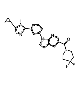 O=C(c1cnc2c(ccn2-c2cccc(-c3nnc(C4CC4)[nH]3)c2)c1)N1CCC(F)(F)CC1